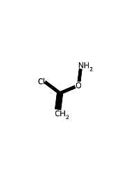 C=C(Cl)ON